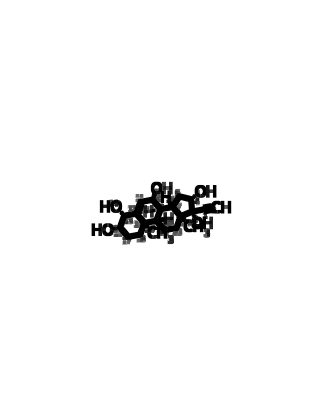 C#C[C@]1(O)[C@@H](O)C[C@H]2[C@@H]3[C@H](O)C=C4[C@@H](O)[C@@H](O)CC[C@]4(C)[C@H]3CC[C@@]21C